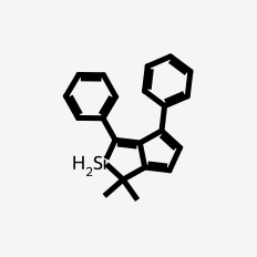 CC1(C)[SiH2]C(c2ccccc2)=C2C(c3ccccc3)=CC=C21